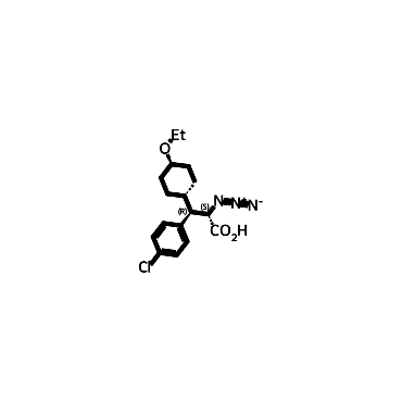 CCO[C@H]1CC[C@H]([C@H](c2ccc(Cl)cc2)[C@H](N=[N+]=[N-])C(=O)O)CC1